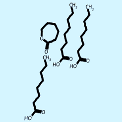 CCCCCCCC(=O)O.CCCCCCCC(=O)O.CCCCCCCC(=O)O.O=C1CCCCCO1